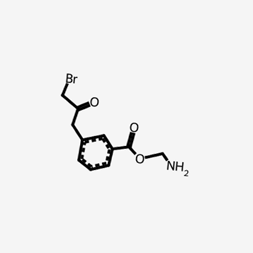 NCOC(=O)c1cccc(CC(=O)CBr)c1